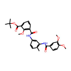 COc1ccc(C(=O)Nc2cc(NC(=O)c3cccc(C(=O)OC(C)(C)C)c3OC)ccc2C)cc1OC